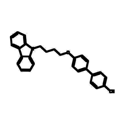 N#Cc1ccc(-c2ccc(OCCCCn3c4ccccc4c4ccccc43)cc2)cc1